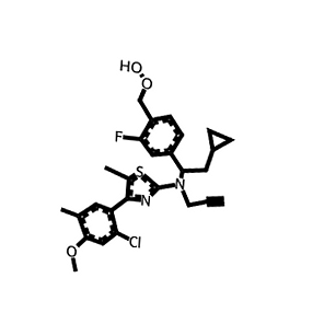 C#CCN(c1nc(-c2cc(C)c(OC)cc2Cl)c(C)s1)C(CC1CC1)c1ccc(COO)c(F)c1